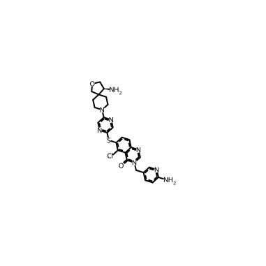 Nc1ccc(Cn2cnc3ccc(Sc4cnc(N5CCC6(CC5)COC[C@H]6N)cn4)c(Cl)c3c2=O)cn1